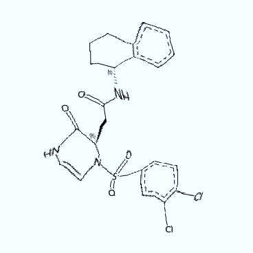 O=C(C[C@@H]1C(=O)NC=CN1S(=O)(=O)c1ccc(Cl)c(Cl)c1)N[C@@H]1CCCc2ccccc21